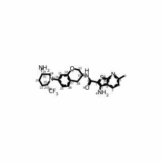 Cc1ccc2c(N)c(C(=O)N[C@H]3COc4cc(N5C[C@@H](N)CC[C@H]5C(F)(F)F)ccc4C3)sc2n1